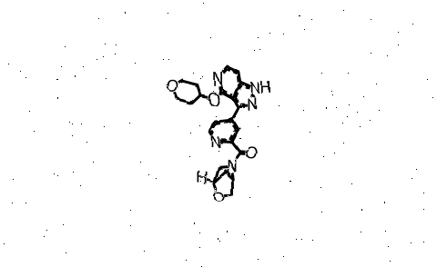 O=C(c1cc(-c2n[nH]c3ccnc(OC4CCOCC4)c23)ccn1)N1C[C@@H]2CC1CO2